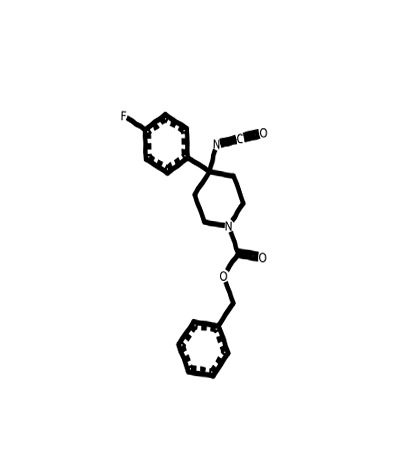 O=C=NC1(c2ccc(F)cc2)CCN(C(=O)OCc2ccccc2)CC1